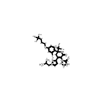 CC(C)Cn1ccc(C2=C(n3nn[nH]c3=O)C(=O)NC(c3ccc(OCCCC(F)(F)F)cc3F)(C(F)(F)F)C2)n1